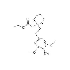 CCOC(=O)CC1(CCc2cc(OC)c(O)c(OC)c2)SCCCS1